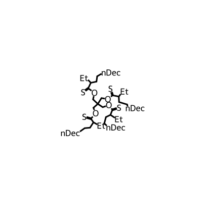 CCCCCCCCCCCCC(CC)C(=S)OCC(COC(=S)C(CC)CCCCCCCCCCCC)(COC(=S)C(CC)CCCCCCCCCCCC)COC(=S)C(CC)CCCCCCCCCCCC